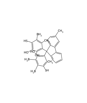 Bc1c(B)c(S)c(C)c(C2(c3c(C)c(B)c(S)c(O)c3O)c3ccccc3-c3cc(C)ccc32)c1O